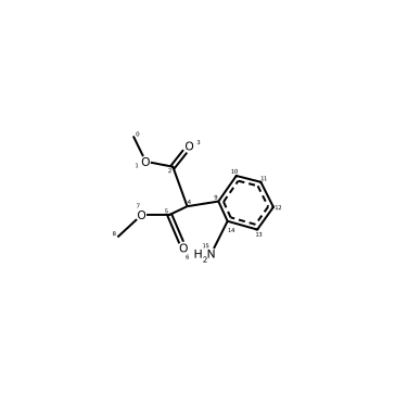 COC(=O)C(C(=O)OC)c1ccccc1N